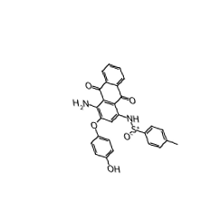 Cc1ccc([S+]([O-])Nc2cc(Oc3ccc(O)cc3)c(N)c3c2C(=O)c2ccccc2C3=O)cc1